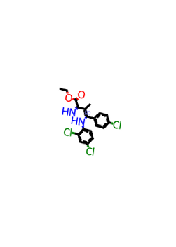 CCOC(=O)C(=N)/C(C)=C(\Nc1ccc(Cl)cc1Cl)c1ccc(Cl)cc1